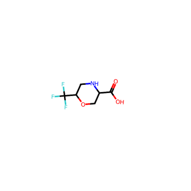 O=C(O)C1COC(C(F)(F)F)CN1